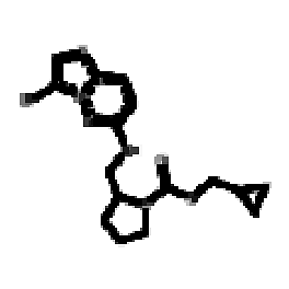 O=C(OCC1CC1)N1CCCC1CNc1ccc2ncc(Br)n2n1